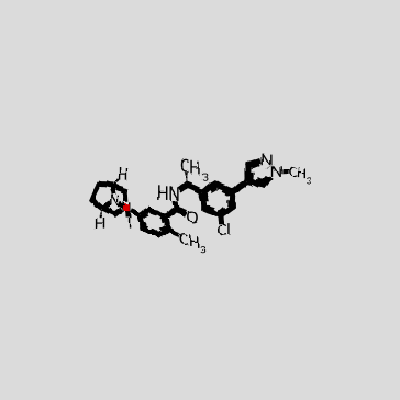 Cc1ccc(N2C[C@H]3CC[C@@H](C2)N3CI)cc1C(=O)N[C@H](C)c1cc(Cl)cc(-c2cnn(C)c2)c1